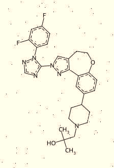 CC(C)(O)CN1CCC(c2ccc3c(c2)-c2nn(-c4ncnn4-c4ccc(F)cc4F)cc2CCO3)CC1